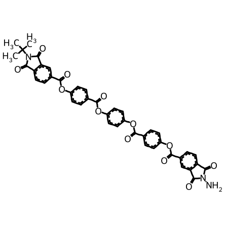 CC(C)(C)N1C(=O)c2ccc(C(=O)Oc3ccc(C(=O)Oc4ccc(OC(=O)c5ccc(OC(=O)c6ccc7c(c6)C(=O)N(N)C7=O)cc5)cc4)cc3)cc2C1=O